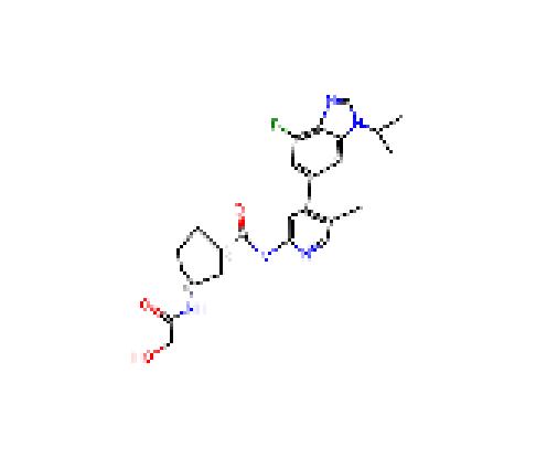 Cc1cnc(NC(=O)[C@H]2CCC[C@@H](NC(=O)CO)C2)cc1-c1cc(F)c2ncn(C(C)C)c2c1